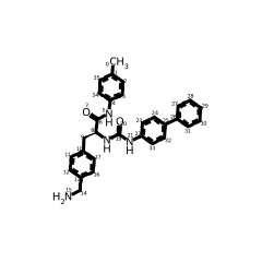 Cc1ccc(NC(=O)[C@H](Cc2ccc(CN)cc2)NC(=O)Nc2ccc(-c3ccccc3)cc2)cc1